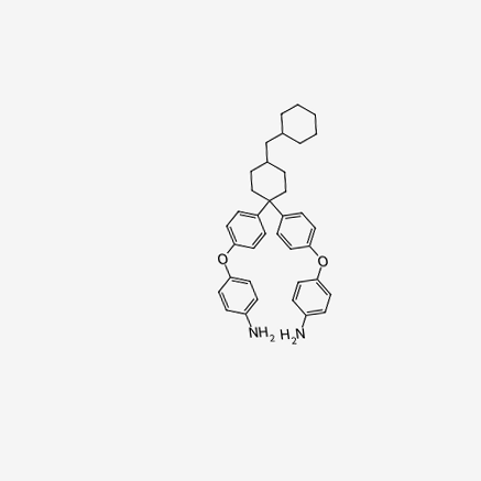 Nc1ccc(Oc2ccc(C3(c4ccc(Oc5ccc(N)cc5)cc4)CCC(CC4CCCCC4)CC3)cc2)cc1